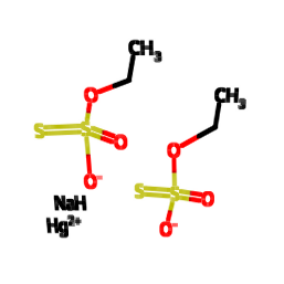 CCOS(=O)([O-])=S.CCOS(=O)([O-])=S.[Hg+2].[NaH]